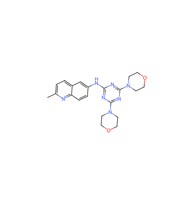 Cc1ccc2cc(Nc3nc(N4CCOCC4)nc(N4CCOCC4)n3)ccc2n1